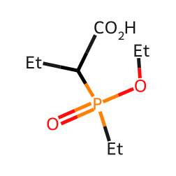 CCOP(=O)(CC)C(CC)C(=O)O